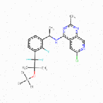 CC[Si](CC)(CC)OC(C)(C)C(F)(F)c1cccc([C@@H](C)Nc2nc(C)nc3cnc(Cl)cc23)c1F